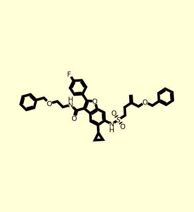 C=C(CCS(=O)(=O)Nc1cc2oc(-c3ccc(F)cc3)c(C(=O)NCCOCc3ccccc3)c2cc1C1CC1)COCc1ccccc1